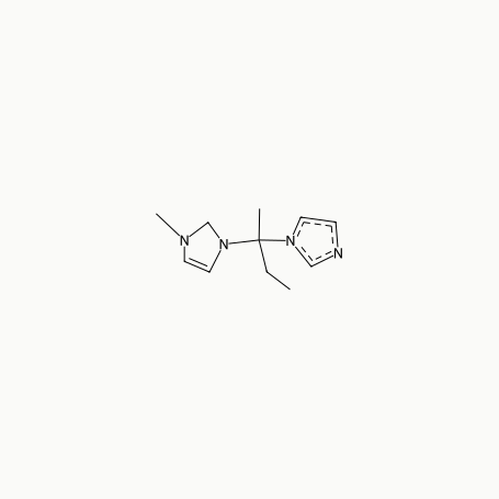 CCC(C)(N1C=CN(C)C1)n1ccnc1